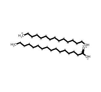 CCCCCCCCCCCCCCCC(=O)O.CCCCCCCCCCCCCCO